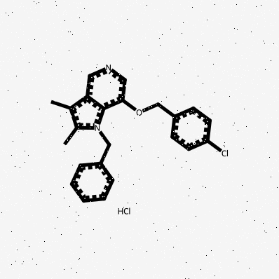 Cc1c(C)n(Cc2ccccc2)c2c(OCc3ccc(Cl)cc3)cncc12.Cl